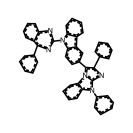 c1ccc(-c2nc3n(-c4ccccc4)c4ccccc4n3c2-c2ccc3c(c2)c2ccccc2n3-c2nc(-c3ccccc3)c3ccccc3n2)cc1